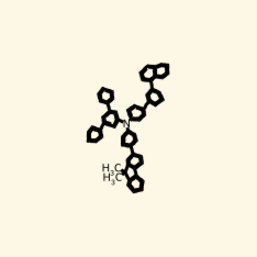 CC1(C)c2ccccc2-c2ccc(-c3ccc(N(c4ccc(-c5cccc(-c6cccc7ccccc67)c5)cc4)c4cc(-c5ccccc5)cc(-c5ccccc5)c4)cc3)cc21